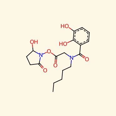 CCCCCN(CC(=O)ON1C(=O)CCC1O)C(=O)c1cccc(O)c1O